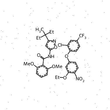 CCC(C)(CC)c1cc(NC(=O)c2c(OC)cccc2OC)on1.CCOc1cc(Oc2ccc(C(F)(F)F)cc2Cl)ccc1[N+](=O)[O-]